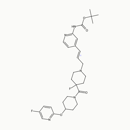 CC(C)(C)OC(=O)Nc1cc(/C=C/CN2CCC(F)(C(=O)N3CCC(Oc4ccc(F)cn4)CC3)CC2)ccn1